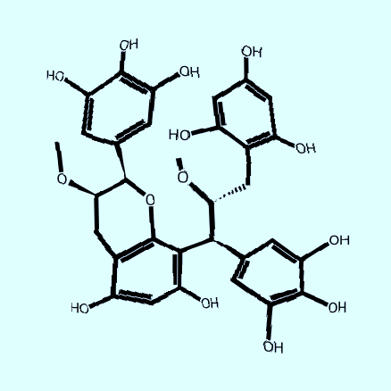 CO[C@H](Cc1c(O)cc(O)cc1O)[C@@H](c1cc(O)c(O)c(O)c1)c1c(O)cc(O)c2c1O[C@H](c1cc(O)c(O)c(O)c1)[C@H](OC)C2